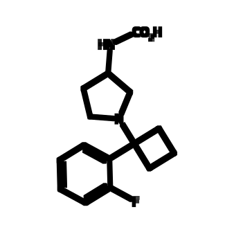 O=C(O)NC1CCN(C2(c3ccccc3F)CCC2)C1